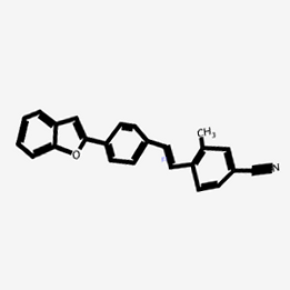 Cc1cc(C#N)ccc1/C=C/c1ccc(-c2cc3ccccc3o2)cc1